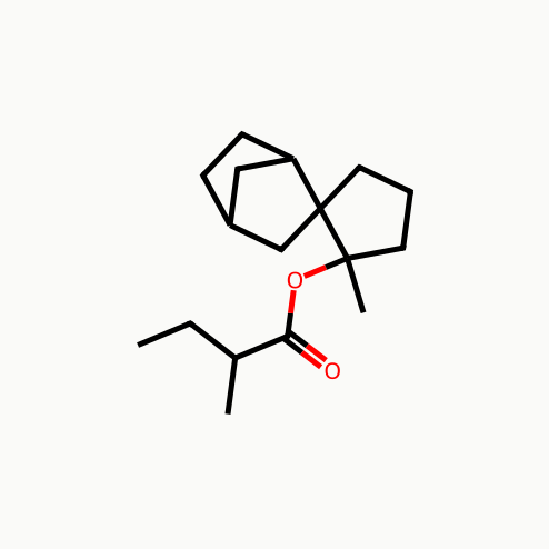 CCC(C)C(=O)OC1(C)CCCC12CC1CCC2C1